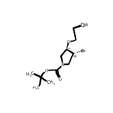 CC(C)(C)OC(=O)N1C[C@@H](Br)[C@H](OCCO)C1